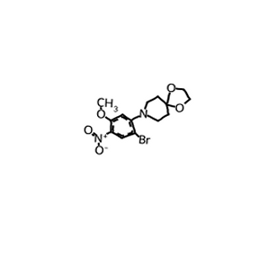 COc1cc(N2CCC3(CC2)OCCO3)c(Br)cc1[N+](=O)[O-]